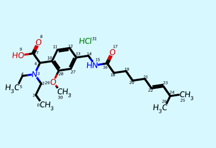 CCCN(CC)C(C(=O)O)c1ccc(CNC(=O)CCCC/C=C/C(C)C)cc1OC.Cl